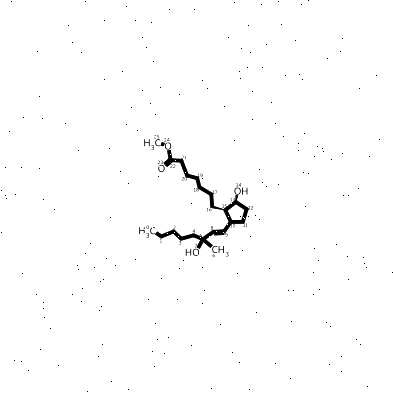 CCCCCC(C)(O)C=CC1CC[C@H](O)[C@@H]1CCCCCCC(=O)OC